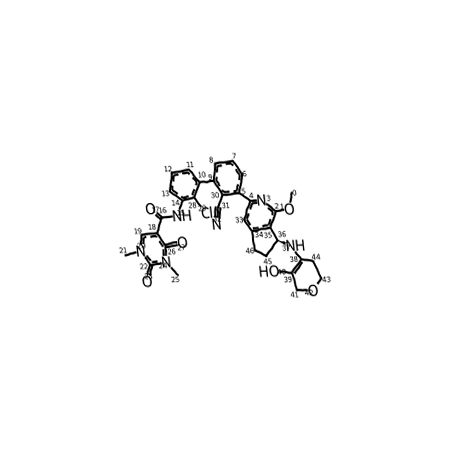 COc1nc(-c2cccc(-c3cccc(NC(=O)c4cn(C)c(=O)n(C)c4=O)c3Cl)c2C#N)cc2c1[C@@H](NC1=C(O)COCC1)CC2